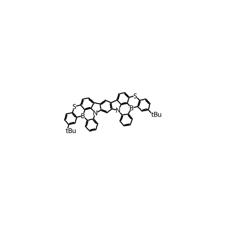 CC(C)(C)c1ccc2c(c1)B1c3ccccc3-n3c4cc5c(cc4c4ccc(c1c43)S2)c1ccc2c3c1n5-c1ccccc1B3c1cc(C(C)(C)C)ccc1S2